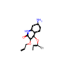 C=CCOc1c(OC(=CC)CC)c2ccc(N)cc2[nH]c1=O